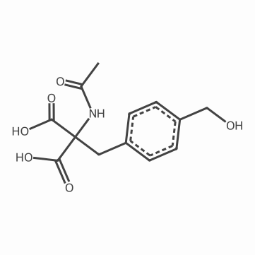 CC(=O)NC(Cc1ccc(CO)cc1)(C(=O)O)C(=O)O